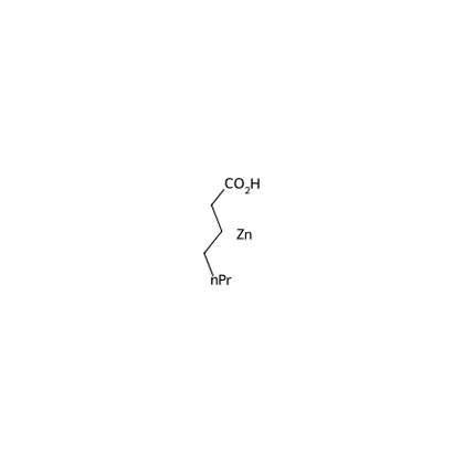 CCCCCCC(=O)O.[Zn]